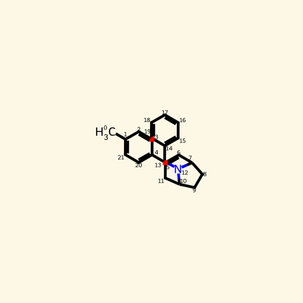 Cc1ccc(C2=CC3CCC(C2)N3Cc2ccccc2)cc1